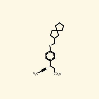 CC#C[C@@H](CC(=O)O)c1ccc(OCC2CCC3(CCCC3)C2)cc1